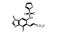 Cn1cnc2c(F)c(C=CC(=O)O)c(NS(=O)(=O)c3cccs3)cc21